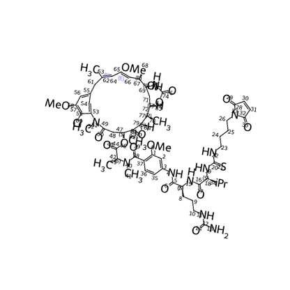 COc1cc(NC(=O)[C@H](CCCNC(N)=O)NC(=O)[C@@H](NC(=S)NCCCCN2C(=O)C=CC2=O)C(C)C)ccc1C(=O)N(C)[C@@H](C)C(=O)O[C@H]1CC(=O)N(C)c2cc(cc(OC)c2Cl)C/C(C)=C/C=C/[C@@H](OC)[C@@]2(O)C[C@H](OC(=O)N2)[C@@H](C)[C@@H]2O[C@@]12C